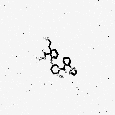 CCCc1cccc(O[C@@H]2CC[C@@H](C)N(C(=O)c3ccccc3-n3nccn3)C2)c1C(=O)OC